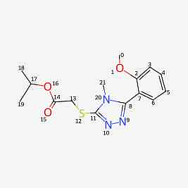 COc1ccccc1-c1nnc(SCC(=O)OC(C)C)n1C